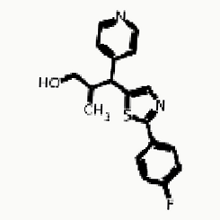 CC(CO)C(c1ccncc1)c1cnc(-c2ccc(F)cc2)s1